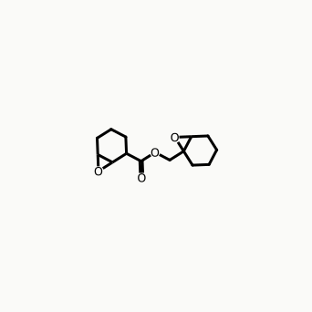 O=C(OCC12CCCCC1O2)C1CCCC2OC21